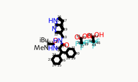 CCC(C)[C@H](NC)C(=O)N[C@@H](C(=O)NCc1cnc2[nH]ccc2c1)C(C1CCCCC1)C1CCCCC1.O=C(O)C(F)(F)F.O=C(O)C(F)(F)F